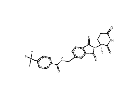 C[C@]1(N2C(=O)c3ccc(CNC(=O)c4ccc(C(F)(F)F)cc4)cc3C2=O)CCC(=O)NC1=O